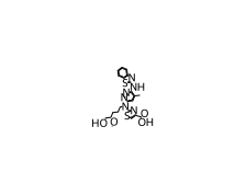 COC(CO)CCCN(c1cc(C)c(Nc2nc3ccccc3s2)nn1)c1nc(C(=O)O)cs1